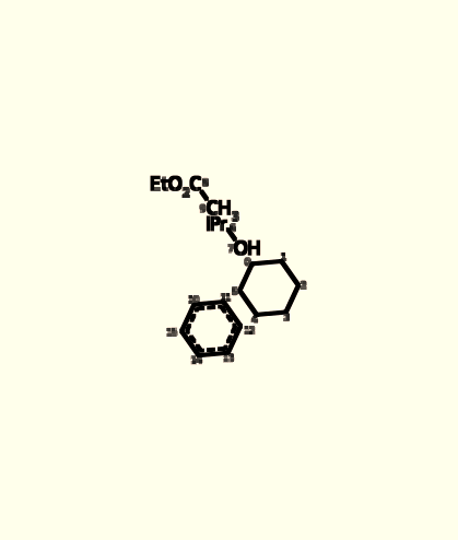 C1CCCCC1.CC(C)O.CCOC(C)=O.c1ccccc1